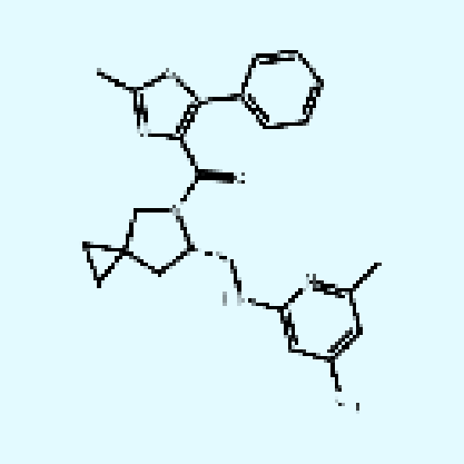 Cc1cc(C(F)(F)F)cc(NC[C@@H]2CC3(CC3)CN2C(=O)c2nc(C)sc2-c2ccccc2)n1